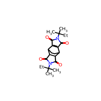 CCC(C)(C)N1C(=O)C2=C(C1=O)C1CCC2C2C(=O)N(C(C)(C)CC)C(=O)C12